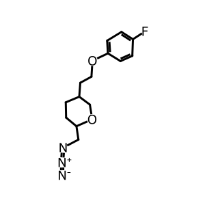 [N-]=[N+]=NCC1CCC(CCOc2ccc(F)cc2)CO1